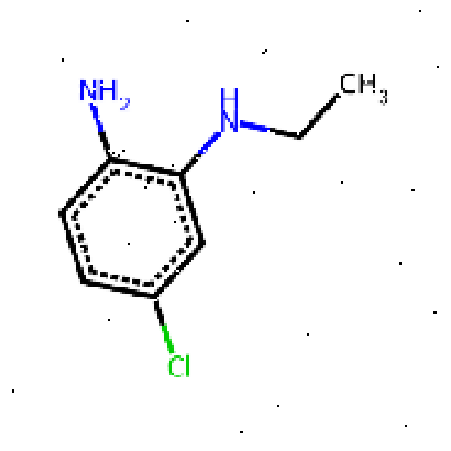 CCNc1cc(Cl)ccc1N